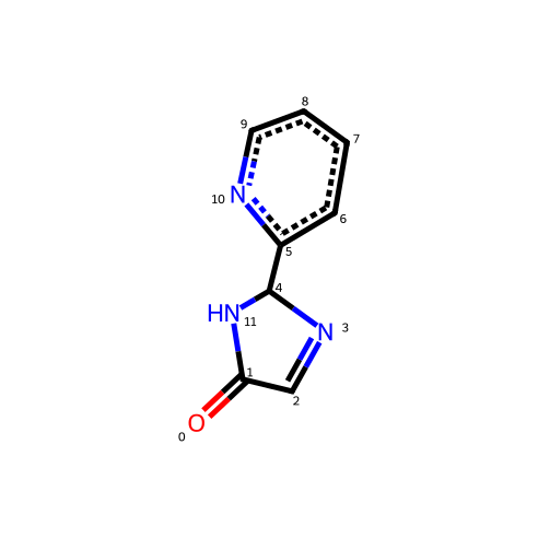 O=C1C=NC(c2ccccn2)N1